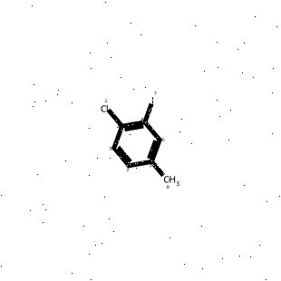 Cc1ccc(Cl)c(I)c1